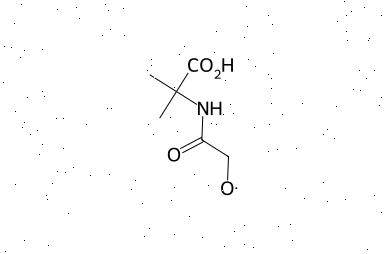 CC(C)(NC(=O)C[O])C(=O)O